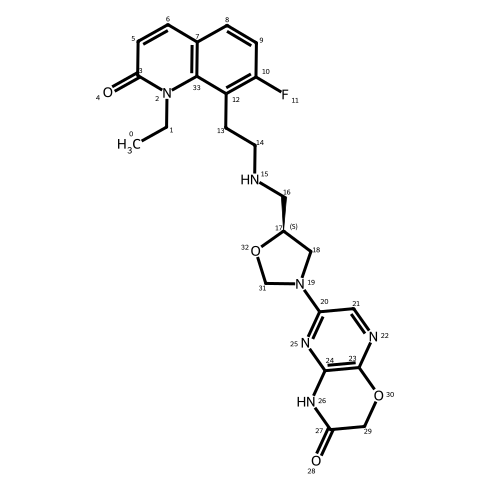 CCn1c(=O)ccc2ccc(F)c(CCNC[C@H]3CN(c4cnc5c(n4)NC(=O)CO5)CO3)c21